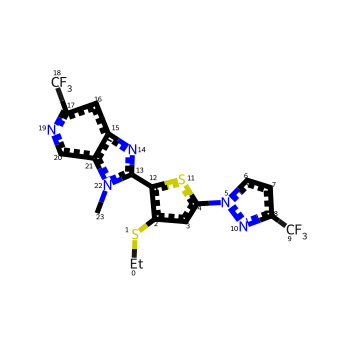 CCSc1cc(-n2ccc(C(F)(F)F)n2)sc1-c1nc2cc(C(F)(F)F)ncc2n1C